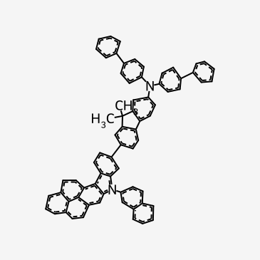 CC1(C)c2cc(-c3ccc4c5c6ccc7cccc8ccc(cc5n(-c5ccc9ccccc9c5)c4c3)c6c87)ccc2-c2ccc(N(c3ccc(-c4ccccc4)cc3)c3ccc(-c4ccccc4)cc3)cc21